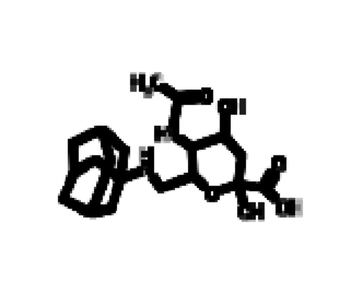 CC(=O)NC1C(O)CC(O)(C(=O)O)OC1CNC12CC3CC(CC(C3)C1)C2